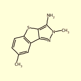 Cc1ccc2sc3c(N)n(C)nc3c2c1